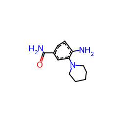 NC(=O)c1ccc(N)c(N2CCCCC2)c1